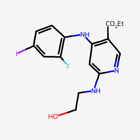 CCOC(=O)c1cnc(NCCO)cc1Nc1ccc(I)cc1F